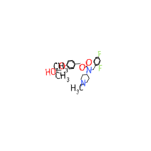 CN1CCC(N(Cc2ccc(F)cc2F)C(=O)OCc2ccc(OCC(C)(C)O)cc2)CC1